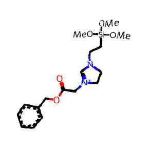 CO[Si](CCN1C=[N+](CC(=O)OCc2ccccc2)CC1)(OC)OC